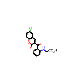 O=C(O)CNc1ccccc1C(=O)c1cc2cc(Cl)ccc2oc1=O